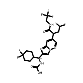 O=C(O)N[C@H](c1cn2ncc(C(CC(F)F)C(=O)NCC(F)(F)F)cc2n1)C1CCC(F)(F)CC1